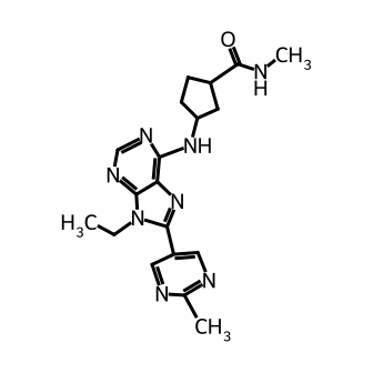 CCn1c(-c2cnc(C)nc2)nc2c(NC3CCC(C(=O)NC)C3)ncnc21